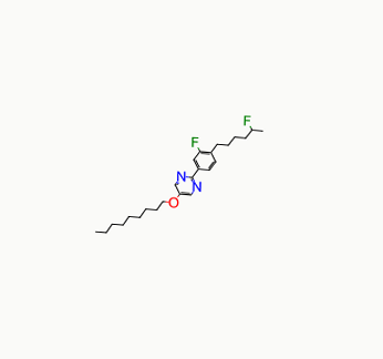 CCCCCCCCCOc1cnc(-c2ccc(CCCCC(C)F)c(F)c2)nc1